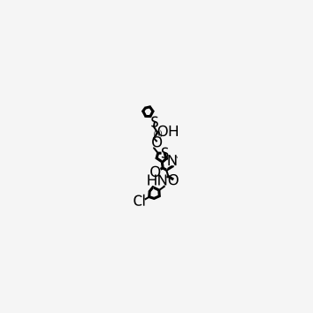 Cn1cc(C(=O)NCc2ccc(Cl)cc2)c(=O)c2cc(COC[C@@H](O)CSc3ccccc3)sc21